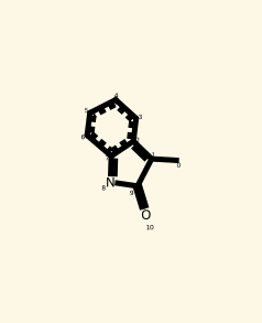 CC1=c2ccccc2=NC1=O